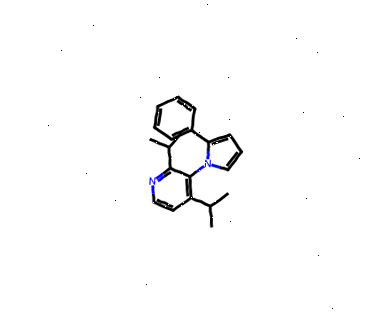 CC(C)c1ccnc(C(C)C)c1-n1cccc1-c1ccccc1